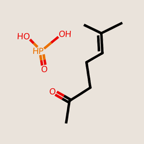 CC(=O)CCC=C(C)C.O=[PH](O)O